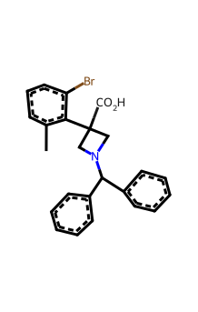 Cc1cccc(Br)c1C1(C(=O)O)CN(C(c2ccccc2)c2ccccc2)C1